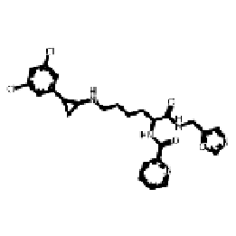 O=C(NC(CCCCNC1CC1c1cc(Cl)cc(Cl)c1)C(=O)NCc1cnco1)c1ccccn1